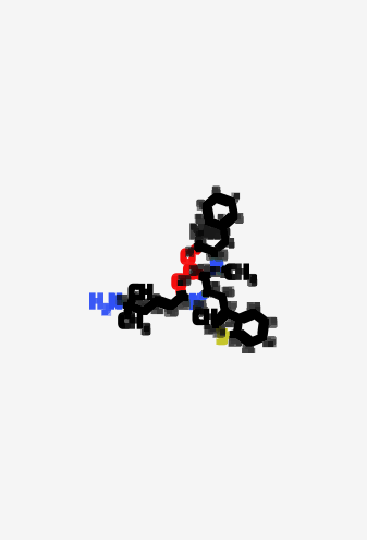 CNC(=O)[C@@H](Cc1ccccc1)N(C)C(=O)[C@@H](Cc1csc2ccccc12)N(C)C(=O)C=CCC(C)(C)N